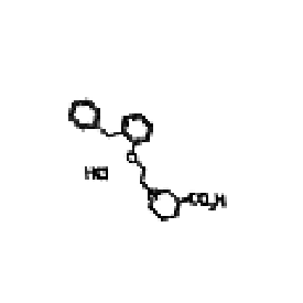 Cl.O=C(O)C1CCCN(CCOc2ccccc2Cc2ccccc2)C1